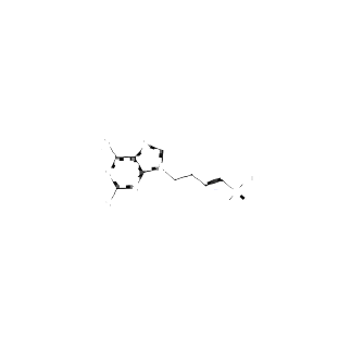 Nc1nc(N)c2ncn(CC/C=C/P(=O)(O)O)c2n1